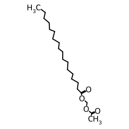 CCCCCCCCCCCCCCCCCC(=O)OCOC(C)=O